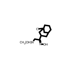 CN(O)C/C(=N/O)C1CC2CCCC(Cl)(C2)C1